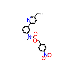 [CH2]Cc1ccc(-c2cccc(N(C)C(=O)OCc3ccc([N+](=O)[O-])cc3)c2)nc1